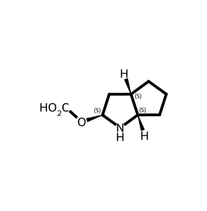 O=C(O)O[C@H]1C[C@@H]2CCC[C@@H]2N1